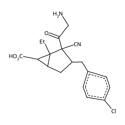 CCC12C(CC(Cc3ccc(Cl)cc3)C1(C#N)C(=O)CN)C2C(=O)O